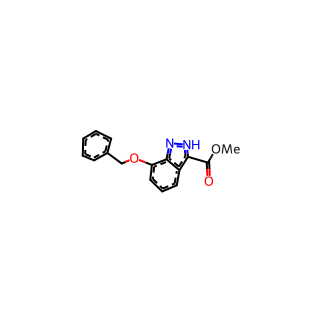 COC(=O)c1[nH]nc2c(OCc3ccccc3)cccc12